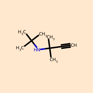 C#CC(C)(C)NC(C)(C)C